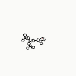 c1ccc(-n2c3ccccc3c3ccc(N(c4ccc(-c5ccc6c(c5)-c5ccccc5C65C6CC7CC(C6)CC5C7)cc4)c4ccc5c6ccccc6n(-c6ccccc6)c5c4)cc32)cc1